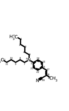 CCCCCCN(CCCCCC)c1ccc(/C=C(/C)C#N)cc1